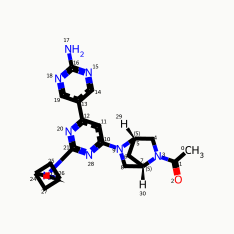 CC(=O)N1C[C@@H]2C[C@H]1CN2c1cc(-c2cnc(N)nc2)nc(N2CC3CC2C3)n1